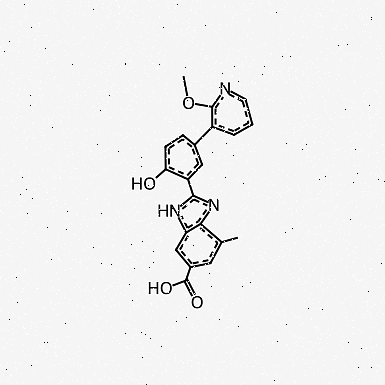 COc1ncccc1-c1ccc(O)c(-c2nc3c(C)cc(C(=O)O)cc3[nH]2)c1